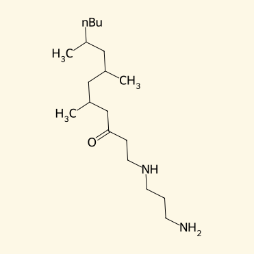 CCCCC(C)CC(C)CC(C)CC(=O)CCNCCCN